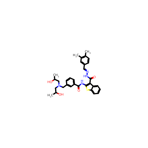 Cc1ccc(C=NNC(=O)c2c(NC(=O)c3cccc(CN(CC(C)O)CC(C)O)c3)sc3ccccc23)cc1C